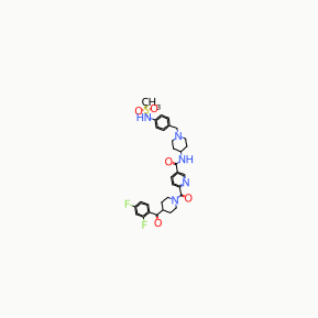 CS(=O)(=O)Nc1ccc(CN2CCC(NC(=O)c3ccc(C(=O)N4CCC(C(=O)c5ccc(F)cc5F)CC4)nc3)CC2)cc1